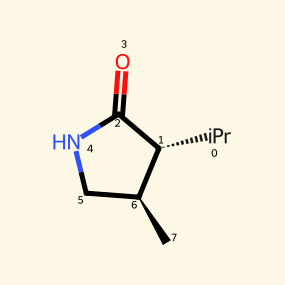 CC(C)[C@H]1C(=O)NC[C@@H]1C